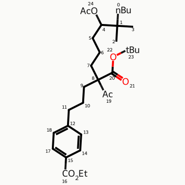 CCCCC(C)(C)C(CCCC(CCCc1ccc(C(=O)OCC)cc1)(C(C)=O)C(=O)OC(C)(C)C)OC(C)=O